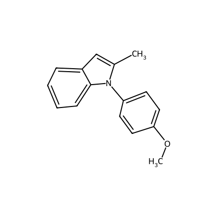 COc1ccc(-n2c(C)cc3ccccc32)cc1